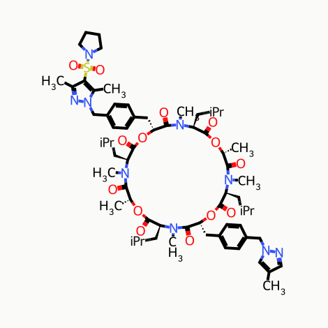 Cc1cnn(Cc2ccc(C[C@H]3OC(=O)[C@H](CC(C)C)N(C)C(=O)[C@@H](C)OC(=O)[C@H](CC(C)C)N(C)C(=O)[C@@H](Cc4ccc(Cn5nc(C)c(S(=O)(=O)N6CCCC6)c5C)cc4)OC(=O)[C@H](CC(C)C)N(C)C(=O)[C@@H](C)OC(=O)[C@H](CC(C)C)N(C)C3=O)cc2)c1